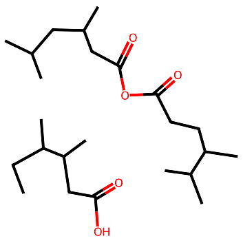 CC(C)CC(C)CC(=O)OC(=O)CCC(C)C(C)C.CCC(C)C(C)CC(=O)O